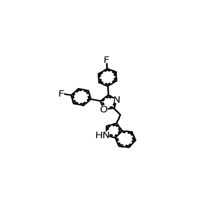 Fc1ccc(-c2nc(Cc3c[nH]c4ccccc34)oc2-c2ccc(F)cc2)cc1